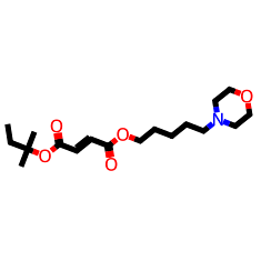 CCC(C)(C)OC(=O)C=CC(=O)OCCCCCN1CCOCC1